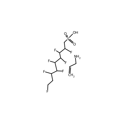 C=CCN.O=S(=O)(O)CC(F)C(F)C(F)C(F)C(F)C(F)CCF